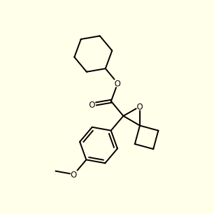 COc1ccc(C2(C(=O)OC3CCCCC3)OC23CCC3)cc1